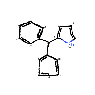 c1ccc(C(c2ccccc2)c2ccc[nH]2)cc1